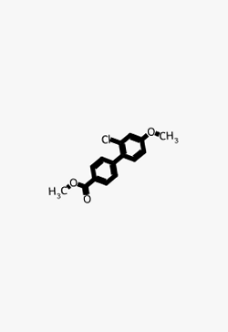 COC(=O)c1ccc(-c2ccc(OC)cc2Cl)cc1